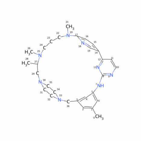 Cc1cc2cc(c1)Nc1nccc(n1)-c1ccc(nc1)N(C)CCCN(C)C(C)CN1CCN(CC1)C2